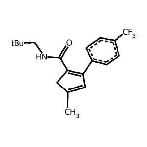 CC1=CC(c2ccc(C(F)(F)F)cc2)=C(C(=O)NCC(C)(C)C)C1